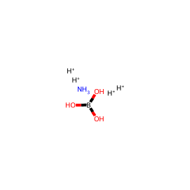 N.OB(O)O.[H+].[H+].[H+].[H+]